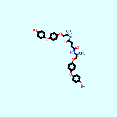 CC(C)Oc1ccc(Oc2ccc(OC[C@H](C)NC(=O)CCC(=O)N[C@@H](C)COc3ccc(Oc4ccc(O)cc4)cc3)cc2)cc1